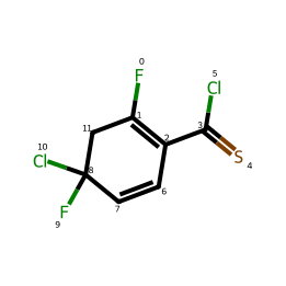 FC1=C(C(=S)Cl)C=CC(F)(Cl)C1